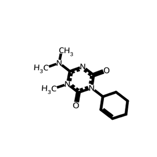 CN(C)c1nc(=O)n(C2C=CCCC2)c(=O)n1C